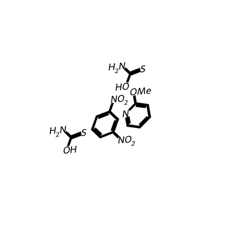 COc1ccccn1.NC(O)=S.NC(O)=S.O=[N+]([O-])c1cccc([N+](=O)[O-])c1